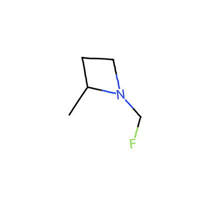 CC1CCN1CF